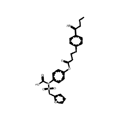 CCCC(=N)c1ccc(CCCC(=O)Oc2ccc(N(C(=O)O)S(=O)(=O)Cc3ccco3)cc2)cc1